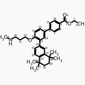 CCOC(=O)c1ccc(-c2ccc(OCCCNC)c(-c3ccc4c(c3)C(C)(C)CCC4(C)C)c2)cc1